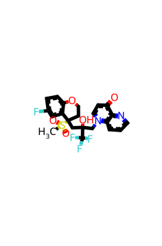 CS(=O)(=O)C1(CC(O)(Cn2ccc(=O)c3ncccc32)C(F)(F)F)CCOc2ccc(F)cc21